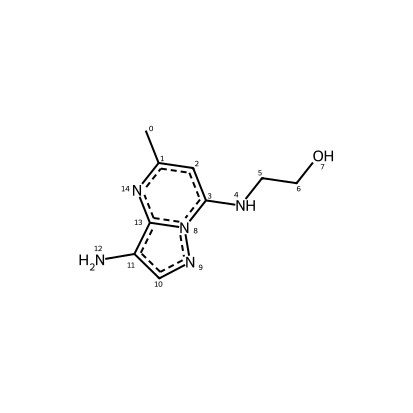 Cc1cc(NCCO)n2ncc(N)c2n1